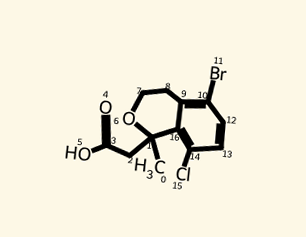 CC1(CC(=O)O)OCCc2c(Br)ccc(Cl)c21